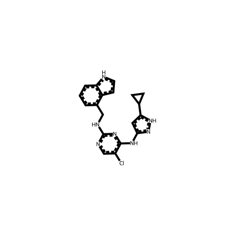 Clc1cnc(NCc2cccc3[nH]ccc23)nc1Nc1cc(C2CC2)[nH]n1